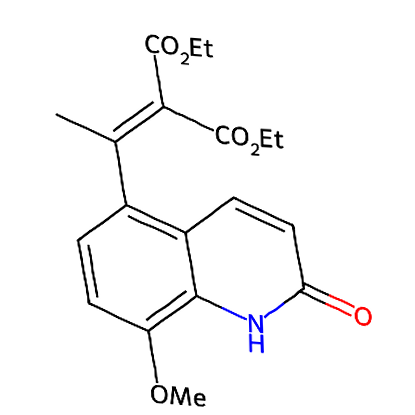 CCOC(=O)C(C(=O)OCC)=C(C)c1ccc(OC)c2[nH]c(=O)ccc12